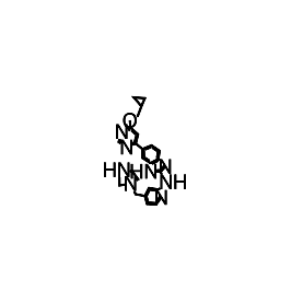 c1cc(CN2CCNCC2)cc(Nc2nc3ccc(-c4cc(OCC5CC5)ncn4)cc3[nH]2)n1